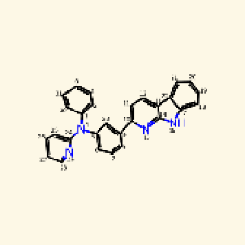 c1ccc(N(c2cccc(-c3ccc4c(n3)[nH]c3ccccc34)c2)c2ccccn2)cc1